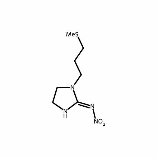 CSCCCN1CCN/C1=N\[N+](=O)[O-]